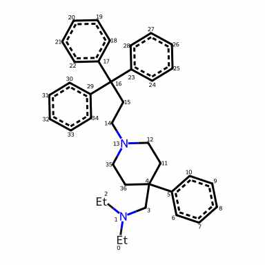 CCN(CC)CC1(c2ccccc2)CCN(CCC(c2ccccc2)(c2ccccc2)c2ccccc2)CC1